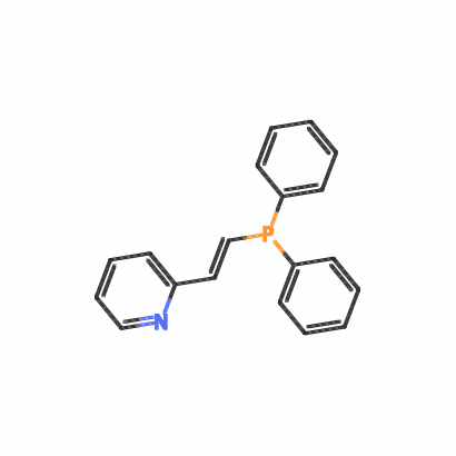 C(=CP(c1ccccc1)c1ccccc1)c1ccccn1